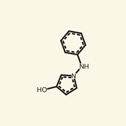 Oc1ccn(Nc2ccccc2)c1